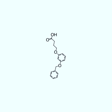 O=C(O)CCCOc1cccc(OCc2ccccc2)c1